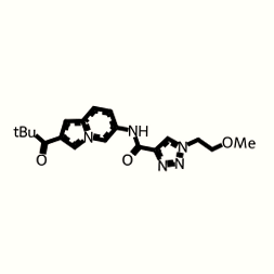 COCCn1cc(C(=O)Nc2ccc3cc(C(=O)C(C)(C)C)cn3c2)nn1